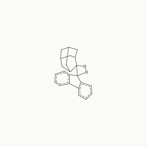 c1ccc2c(c1)-c1ccccc1C21OOC12C1CC3CC(C1)CC2C3